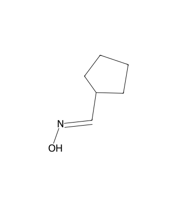 ON=CC1CCCC1